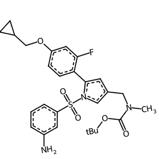 CN(Cc1cc(-c2ccc(OCC3CC3)cc2F)n(S(=O)(=O)c2cccc(N)c2)c1)C(=O)OC(C)(C)C